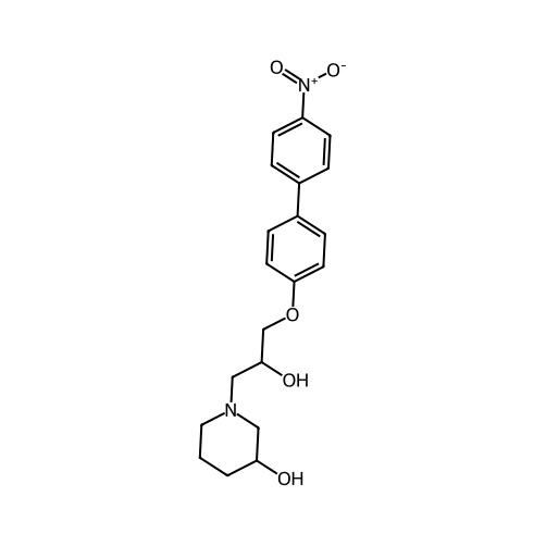 O=[N+]([O-])c1ccc(-c2ccc(OCC(O)CN3CCCC(O)C3)cc2)cc1